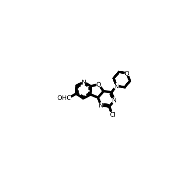 O=Cc1cnc2c(c1)C1N=C(Cl)N=C(N3CCOCC3)C1O2